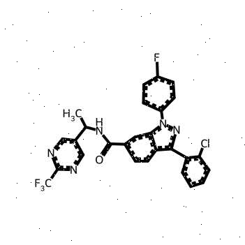 CC(NC(=O)c1ccc2c(-c3ccccc3Cl)nn(-c3ccc(F)cc3)c2c1)c1cnc(C(F)(F)F)nc1